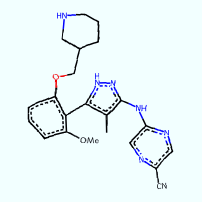 COc1cccc(OCC2CCCNC2)c1-c1[nH]nc(Nc2cnc(C#N)cn2)c1C